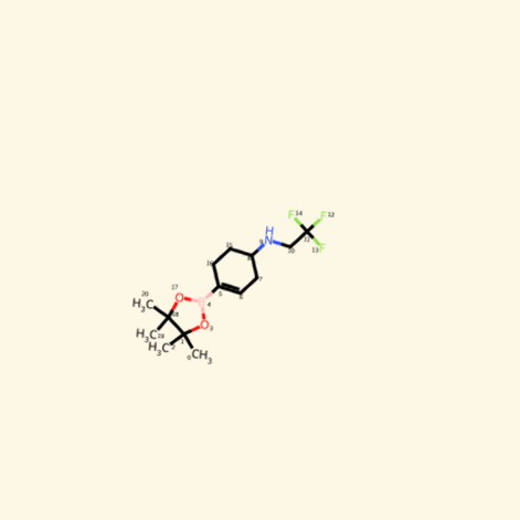 CC1(C)OB(C2=CCC(NCC(F)(F)F)CC2)OC1(C)C